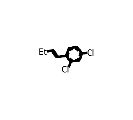 CCC=Cc1ccc(Cl)cc1Cl